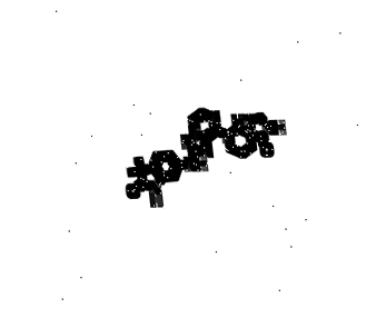 CC1(C)C(=O)Nc2cc(Nc3nc4c(N5CCCC6(C5)NCNC6=O)nccn4n3)ccc21